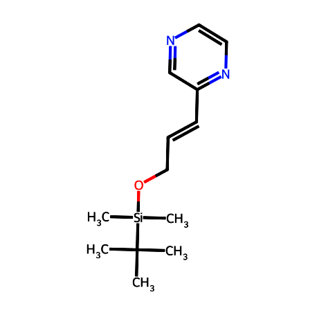 CC(C)(C)[Si](C)(C)OC/C=C/c1cnccn1